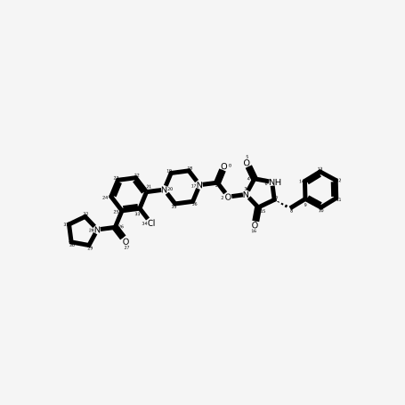 O=C(ON1C(=O)N[C@H](Cc2ccccc2)C1=O)N1CCN(c2cccc(C(=O)N3CCCC3)c2Cl)CC1